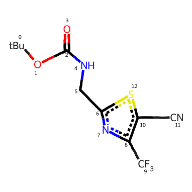 CC(C)(C)OC(=O)NCc1nc(C(F)(F)F)c(C#N)s1